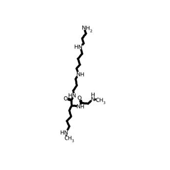 CNCCCCC(NC(=O)CNC)C(=O)NCCCNCCCCNCCCN